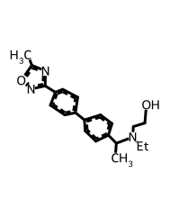 CCN(CCO)C(C)c1ccc(-c2ccc(-c3noc(C)n3)cc2)cc1